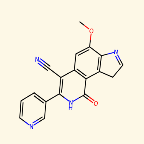 COc1cc2c(C#N)c(-c3cccnc3)[nH]c(=O)c2c2c1N=CC2